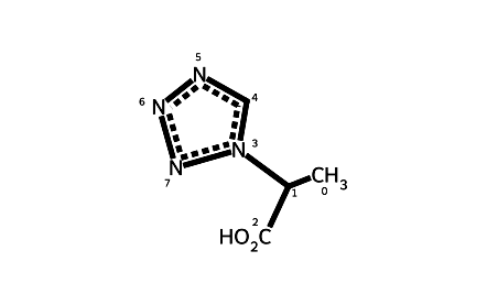 CC(C(=O)O)n1cnnn1